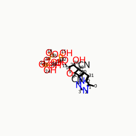 Cc1ncnn2c([C@]3(C#N)O[C@H](COP(=O)(O)OP(=O)(O)OP(=O)(O)O)[C@@H](O)[C@@]3(C)C#N)ccc12